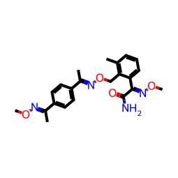 CO/N=C(\C)c1ccc(/C(C)=N/OCc2c(C)cccc2/C(=N\OC)C(N)=O)cc1